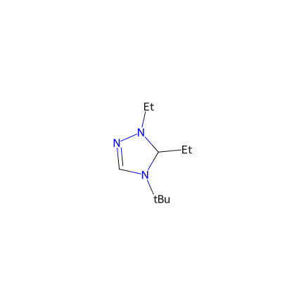 CCC1N(CC)N=CN1C(C)(C)C